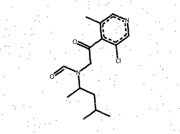 Cc1cncc(Cl)c1C(=O)CN(C=O)C(C)CC(C)C